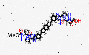 COC(=O)NC(C(=O)N1CCCC1c1nc2ccc(C3Cc4cc5c(cc4C3)CC(c3ccc4nc(C6CCCN6C(=O)C(NC(=O)CO)C(C)C)[nH]c4c3)C5)cc2[nH]1)C(C)C